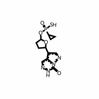 O=c1[nH]ncc2c(C3CCC(OP(=O)(S)C4CC4)O3)cnn12